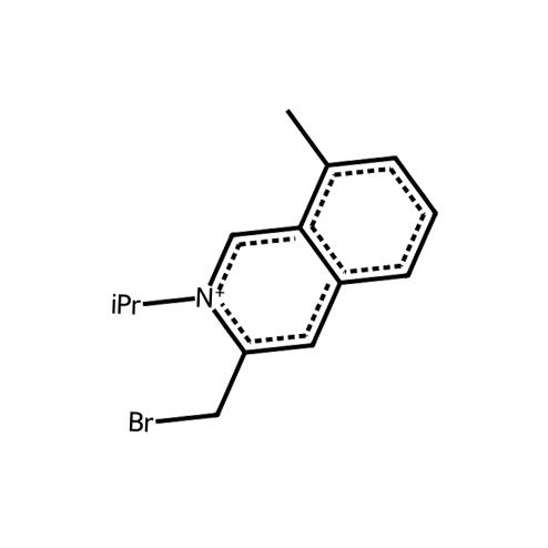 Cc1cccc2cc(CBr)[n+](C(C)C)cc12